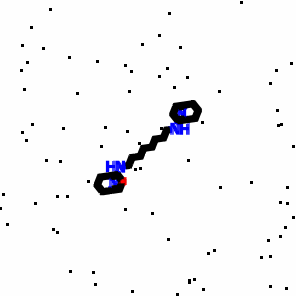 CN1C2=CCC(NCCCCCCCCNC3=C4CCCC(=CC3)N4C)=C1CCC2